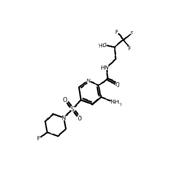 Nc1cc(S(=O)(=O)N2CCC(F)CC2)cnc1C(=O)NCC(O)C(F)(F)F